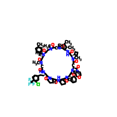 CC[C@H](C)[C@@H]1NC(=O)[C@H](C2CCC2)N(C)C(=O)C[C@@H](C(=O)N2CCOCC2)N(C)C(=O)[C@H](C2CCCCC2)N(C)C(=O)C2(CCCC2)NC(=O)[C@@H]2CCCN2C(=O)[C@H](CCc2ccc(C(F)(F)F)c(Cl)c2)NC(=O)CN(C)C(=O)[C@H](Cc2ccc(C)cc2)N(C)C(=O)CN(C)C(=O)CN(C)C1=O